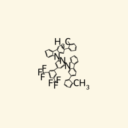 Cc1ccccc1-c1ccc2c3ccccc3n(-c3cc(-c4cc(C(F)(F)F)cc(C(F)(F)F)c4)cc(-n4c5ccccc5c5ccc(-c6ccccc6C)cc54)n3)c2c1